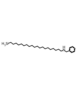 [SiH3]CCCCCCCCCCCCCCCCCCCCNCc1ccccc1